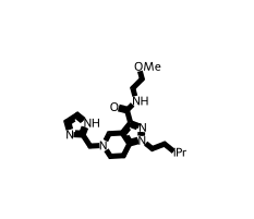 COCCNC(=O)c1nn(CCC(C)C)c2c1CN(Cc1ncc[nH]1)CC2